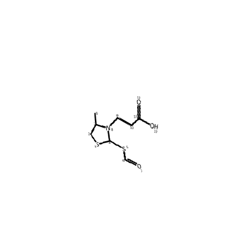 CC1CSC(SC=O)N1CCC(=O)O